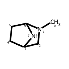 CN1CC2CCC1N2